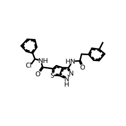 Cc1cccc(CC(=O)Nc2n[nH]c3sc(C(=O)NC(Cl)c4ccccc4)cc23)c1